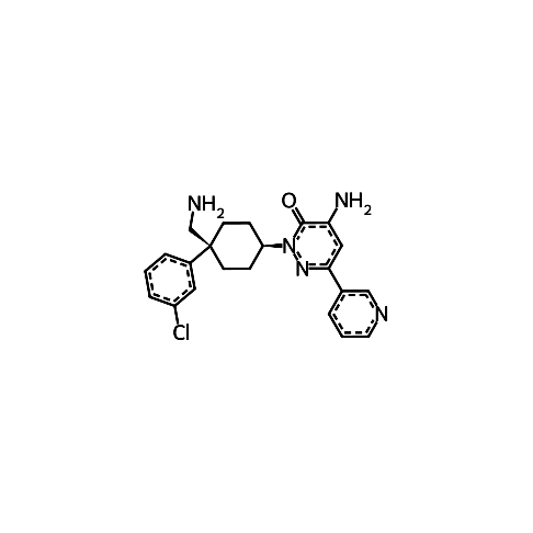 NC[C@]1(c2cccc(Cl)c2)CC[C@H](n2nc(-c3cccnc3)cc(N)c2=O)CC1